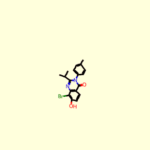 Cc1ccc(-n2c(C(C)C)nc3c(Br)c(O)ccc3c2=O)cc1